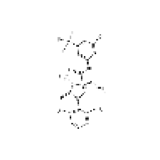 CC[C@@]1(C(=O)Nc2cc(Cl)cc(C(F)(F)F)c2)CN(c2c(C)cccc2C)C(=O)C1C